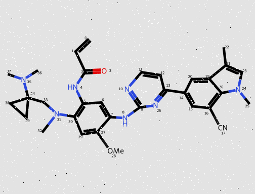 C=CC(=O)Nc1cc(Nc2nccc(-c3cc(C#N)c4c(c3)c(C)cn4C)n2)c(OC)cc1N(C)CC1(N(C)C)CC1